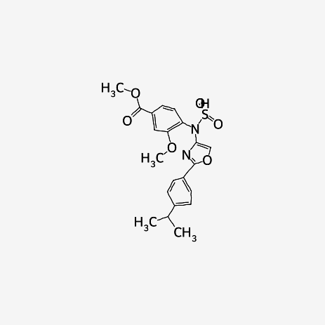 COC(=O)c1ccc(N(c2coc(-c3ccc(C(C)C)cc3)n2)[SH](=O)=O)c(OC)c1